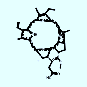 C=Cc1c(C)c2cc3nc(c4c5[nH]c(cc6nc(cc1[nH]2)C(C)=C6CC)c(C)c5C[C@@H]4C(=O)OC)[C@@H](CCC(=O)O)[C@@H]3C